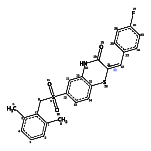 Cc1cccc(C)c1CS(=O)(=O)c1ccc2c(c1)NC(=O)/C(=C\c1ccc(F)cc1)S2